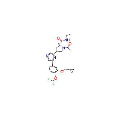 CCNC(=O)[C@H]1CC(c2cncc(-c3ccc(OC(F)F)c(OCC4CC4)c3)n2)CN1C(C)=O